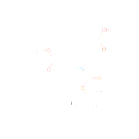 COC(=O)C1CC(CC(=O)O)=CN(C(=O)OC(C)(C)C)C1